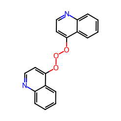 c1ccc2c(OOOc3ccnc4ccccc34)ccnc2c1